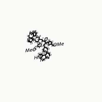 COCC1CCN(C(CC2CCN(c3ccnc4cnc5[nH]ccc5c34)CC2)C(=O)C(CC2CCN(c3ccnc4cnc5[nH]ccc5c34)CC2)N2CCC(COC)C2)C1